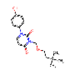 C[Si](C)(C)CCOCn1c(=O)ccn(-c2ccc(O)cc2)c1=O